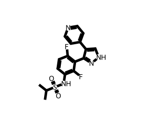 CC(C)S(=O)(=O)Nc1ccc(F)c(-c2n[nH]cc2-c2ccncc2)c1F